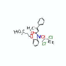 CCC(Cl)C(CCl)ON(C(=O)C=C(C)c1ccccc1)c1ccccc1OCCCC(=O)O